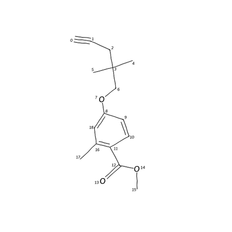 C#CCC(C)(C)COc1ccc(C(=O)OC)c(C)c1